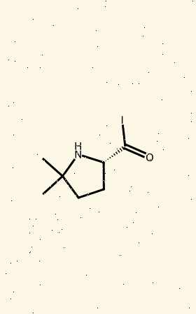 CC1(C)CC[C@@H](C(=O)I)N1